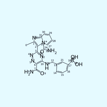 CC1=C(c2nnc(C(N)=O)c(NCc3cccc(B(O)O)c3)n2)[N+]2(C(N)=O)C=CC=CC2=N1